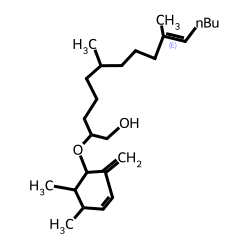 C=C1C=CC(C)C(C)C1OC(CO)CCCC(C)CCC/C(C)=C/CCCC